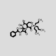 CCC[Si](CCC)(CCC)OC(=O)C1=C(CBr)C(Br)[S+]([O-])[C@H]2C(NC(=O)c3ccccc3)C(=O)N12